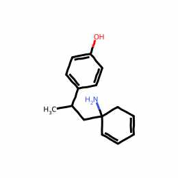 CC(CC1(N)C=CC=CC1)c1ccc(O)cc1